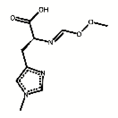 COO/C=N/[C@@H](Cc1cn(C)cn1)C(=O)O